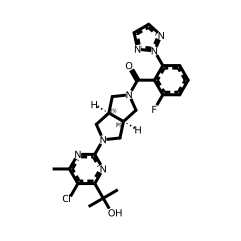 Cc1nc(N2C[C@H]3CN(C(=O)c4c(F)cccc4-n4nccn4)C[C@H]3C2)nc(C(C)(C)O)c1Cl